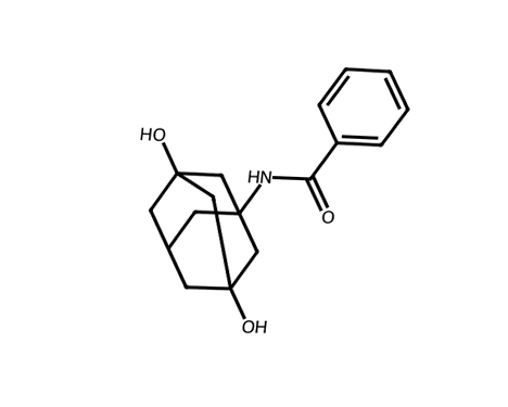 O=C(NC12CC3CC(O)(CC(O)(C3)C1)C2)c1ccccc1